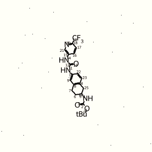 CC(C)(C)OC(=O)N[C@H]1CCc2cc(NC(=O)Nc3ccc(C(F)(F)F)nc3)ccc2C1